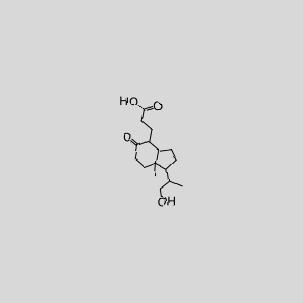 CC(CO)C1CCC2C(CCC(=O)O)C(=O)CCC12C